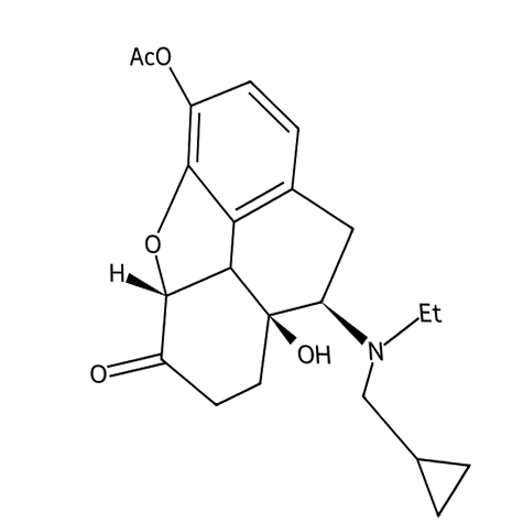 CCN(CC1CC1)[C@@H]1Cc2ccc(OC(C)=O)c3c2C2[C@@H](O3)C(=O)CC[C@]21O